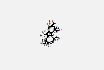 CCC1(CI)CCC(CC)(CC)C(CC)(CI)CC2C(C1)C1CC(CC)(CI)CC(C)(CS)CCC1C2(C)C